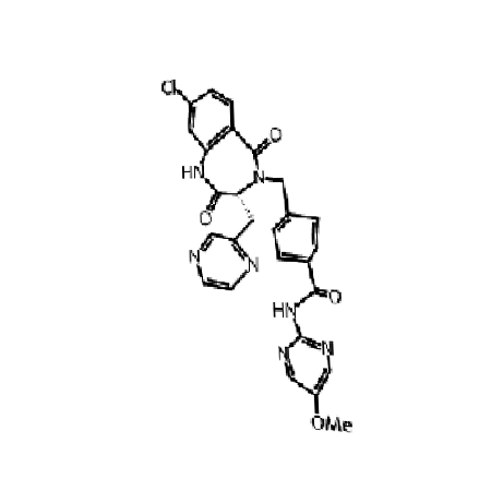 COc1cnc(NC(=O)c2ccc(CN3C(=O)c4ccc(Cl)cc4NC(=O)[C@H]3Cc3cnccn3)cc2)nc1